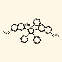 COc1ccc2ccc(C3=C(c4ccccc4)C(c4ccccc4)=C(c4ccc5ccc(OC)cc5c4)[Si]3(c3ccccc3)C(C)(C)C)cc2c1